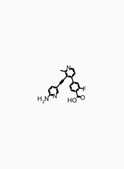 Cc1nccc(-c2ccc(C(=O)O)c(F)c2)c1C#Cc1ccc(N)nc1